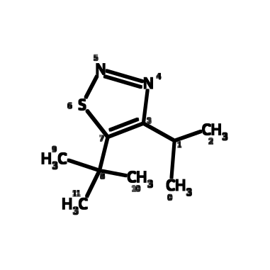 CC(C)c1nnsc1C(C)(C)C